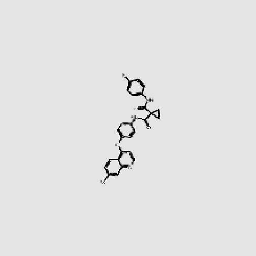 CC(=O)c1ccc2c(Oc3ccc(NC(=O)C4(C(=O)Nc5ccc(F)cc5)CC4)cc3)ccnc2c1